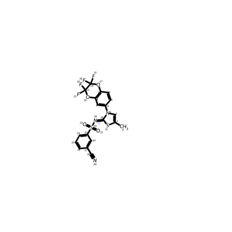 Cc1cn(-c2ccc3c(c2)OC(F)(F)C(F)(F)O3)/c(=N/S(=O)(=O)c2cccc(C#N)c2)s1